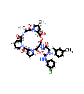 Cc1cccc(C[C@H](NC(=O)Nc2cccc(Cl)c2)C(=O)N[C@H]2COC(=O)[C@@H]3C[C@@H](C)CN3C(=O)[C@H](C)NC(=O)[C@@H]3CCCCN3C(=O)[C@@H]3CCCN3C2=O)c1